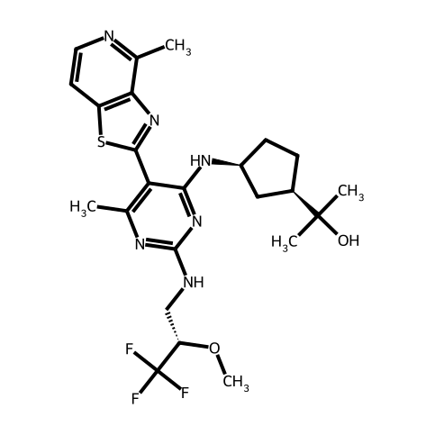 CO[C@@H](CNc1nc(C)c(-c2nc3c(C)nccc3s2)c(N[C@H]2CC[C@@H](C(C)(C)O)C2)n1)C(F)(F)F